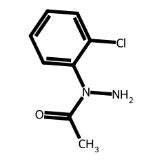 CC(=O)N(N)c1ccccc1Cl